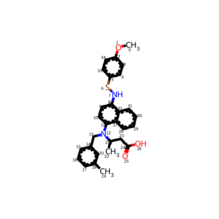 COc1ccc(SNc2ccc(N(Cc3cccc(C)c3)C(C)CC(=O)O)c3ccccc23)cc1